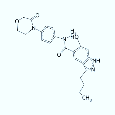 CCCCc1n[nH]c2cc(O)c(C(=O)N(C)c3ccc(N4CCOCC4=O)cc3)cc12